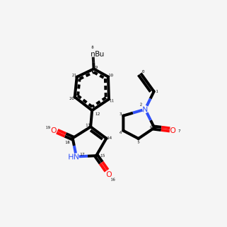 C=CN1CCCC1=O.CCCCc1ccc(C2=CC(=O)NC2=O)cc1